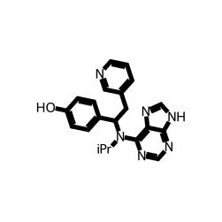 CC(C)N(c1ncnc2[nH]cnc12)C(Cc1cccnc1)c1ccc(O)cc1